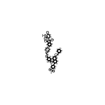 CS(=O)(=O)c1ccc(-c2ccc3cc(OCc4ccccc4)ccc3c2Oc2ccc(OCCN3CCN(c4ccc5c(c4)C(=O)N(C4CCC(=O)NC4=O)C5=O)CC3)cc2)cc1